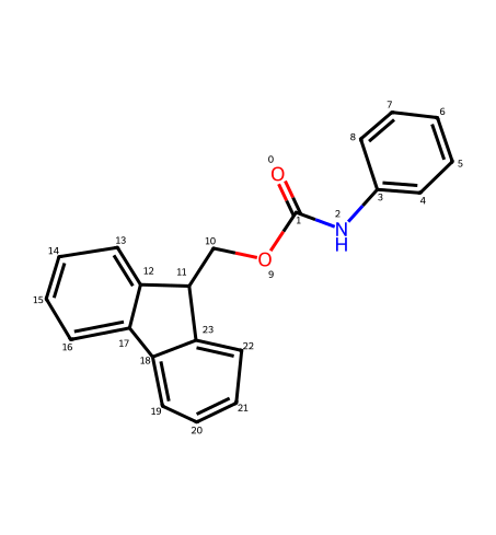 O=C(Nc1ccccc1)OCC1c2ccccc2-c2ccccc21